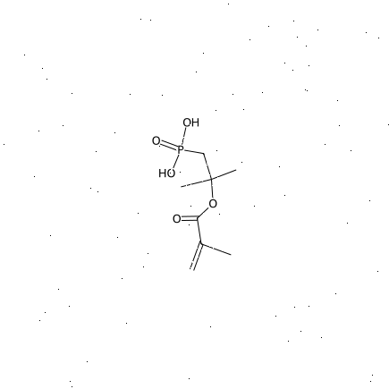 C=C(C)C(=O)OC(C)(C)CP(=O)(O)O